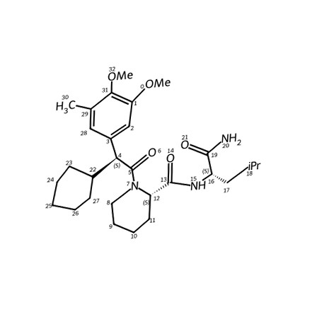 COc1cc([C@@H](C(=O)N2CCCC[C@H]2C(=O)N[C@@H](CC(C)C)C(N)=O)C2CCCCC2)cc(C)c1OC